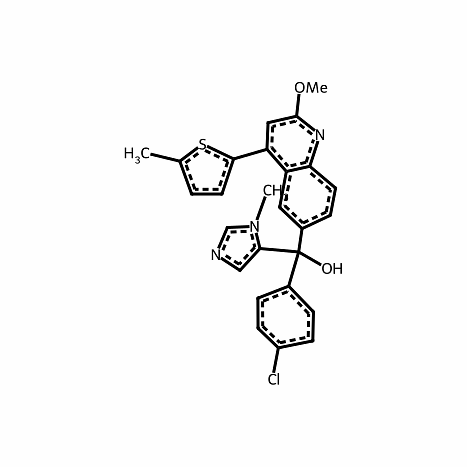 COc1cc(-c2ccc(C)s2)c2cc(C(O)(c3ccc(Cl)cc3)c3cncn3C)ccc2n1